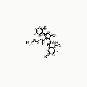 COCCNC1=C(c2nc3cc(Br)ccc3c(=O)[nH]2)C(=O)CN1c1ccccc1F